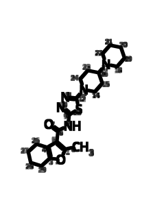 Cc1oc2c(c1C(=O)Nc1nnc(N3CCC(N4CCCCC4)CC3)s1)CCCC2